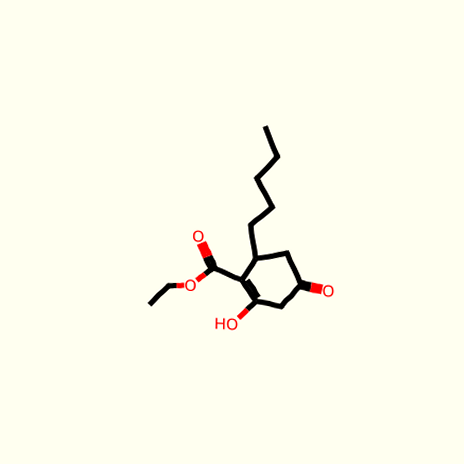 CCCCCC1CC(=O)CC(O)=C1C(=O)OCC